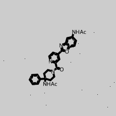 CC(=O)Nc1ccc2oc(-c3ccnc(C(=O)N4CCC(NC(C)=O)(c5ccccc5)CC4)c3)nc2c1